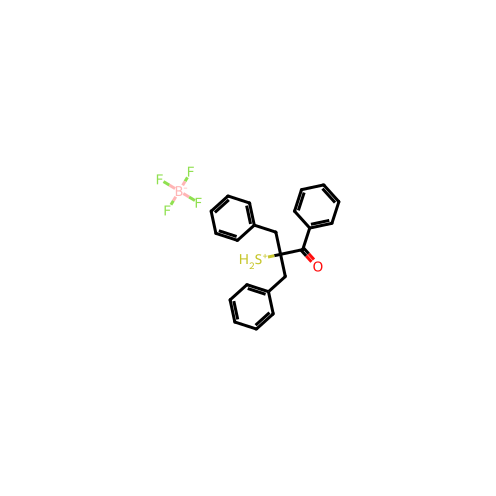 F[B-](F)(F)F.O=C(c1ccccc1)C([SH2+])(Cc1ccccc1)Cc1ccccc1